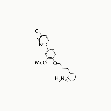 COc1cc(-c2ccc(Cl)nn2)ccc1OCCCN1CCC[C@H]1N